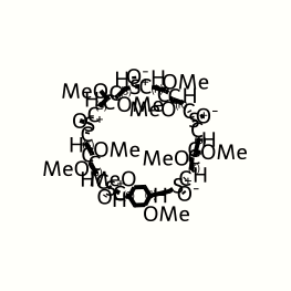 COC1C[C@@H]2C[S+]([O-])C[C@H]3CC(OC)[C@H](CC3OC)C[S+]([O-])C[C@@H]3CC(OC)[C@@H](CC3OC)C[S+]([O-])[C@H]3CC(OC)[C@H](CC3OC)C[S+]([O-])C[C@H]3CC(OC)[C@H](CC3OC)C[S+]([O-])C[C@H]1CC2OC